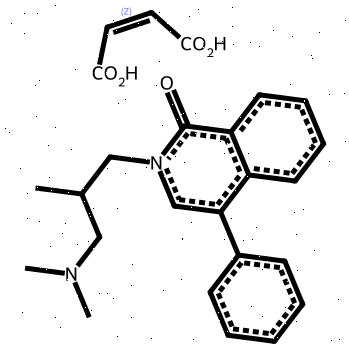 CC(CN(C)C)Cn1cc(-c2ccccc2)c2ccccc2c1=O.O=C(O)/C=C\C(=O)O